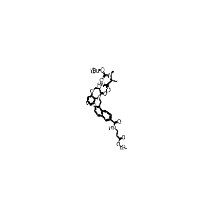 COc1ccc2cc(C(=O)NCCC(=O)OC(C)(C)C)ccc2c1CN1C(=O)[C@@H](NC(=O)[C@H](C)N(C)C(=O)OC(C)(C)C)COc2ccccc21